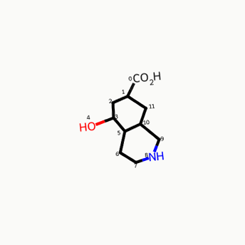 O=C(O)C1CC(O)C2CCNCC2C1